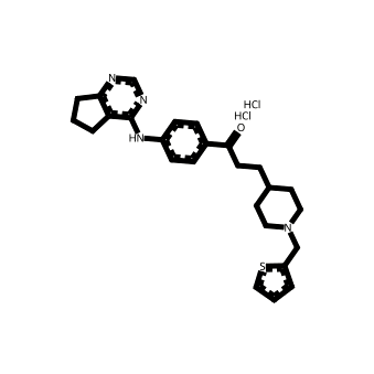 Cl.Cl.O=C(CCC1CCN(Cc2cccs2)CC1)c1ccc(Nc2ncnc3c2CCC3)cc1